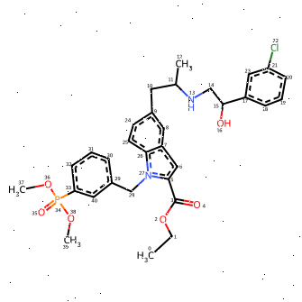 CCOC(=O)c1cc2cc(CC(C)NCC(O)c3cccc(Cl)c3)ccc2n1Cc1cccc(P(=O)(OC)OC)c1